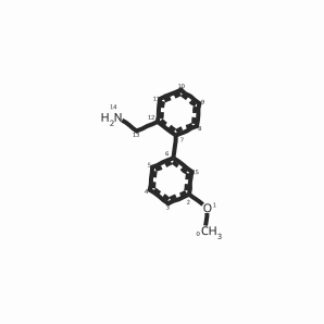 COc1cccc(-c2cc[c]cc2CN)c1